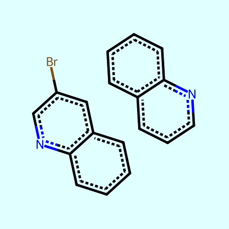 Brc1cnc2ccccc2c1.c1ccc2ncccc2c1